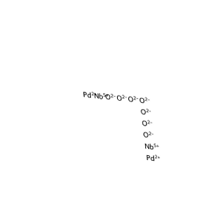 [Nb+5].[Nb+5].[O-2].[O-2].[O-2].[O-2].[O-2].[O-2].[O-2].[Pd+2].[Pd+2]